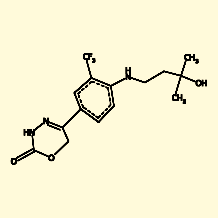 CC(C)(O)CCNc1ccc(C2=NNC(=O)OC2)cc1C(F)(F)F